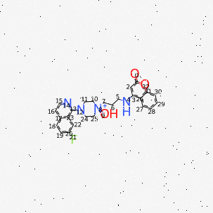 O=c1cc(NCCC[N+]2(O)CCN(c3nccc4ccc(F)cc34)CC2)c2ccccc2o1